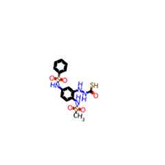 CS(=O)(=O)Nc1ccc(NS(=O)(=O)c2ccccc2)cc1NNC(=O)S